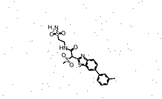 Cc1cccc(-c2ccc3nc(C(C(=O)NCCS(N)(=O)=O)S(C)(=O)=O)sc3c2)c1